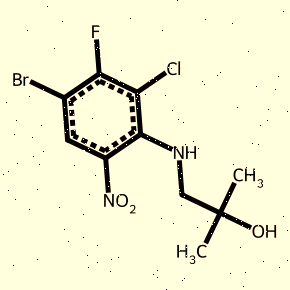 CC(C)(O)CNc1c([N+](=O)[O-])cc(Br)c(F)c1Cl